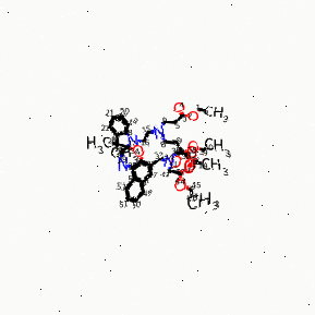 CCOC(=O)CCN(CCC(=O)OCC)CCN1c2ccccc2C(C)(C)C12C=Nc1c(c(CN(CC(=O)OCC)CC(=O)OCC)cc3ccccc13)O2